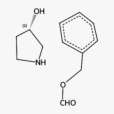 O=COCc1ccccc1.O[C@H]1CCNC1